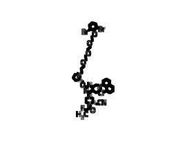 C=C(F)C(=O)N1CCN(c2nc(OC[C@@H]3CCCN3CCCOCCOCCOCCOc3c(Br)cccc3Br)nc3c2CCN(c2cccc4cccc(Cl)c24)C3)C[C@@H]1CC#N